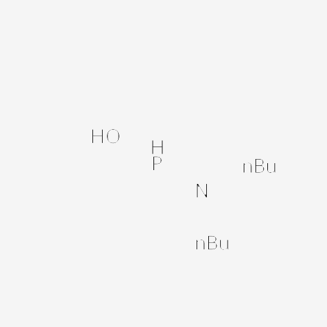 CCCCN(CCCC)[PH](O)(c1ccccc1)c1ccccc1